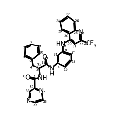 O=C(N[C@@H](Cc1ccccc1)C(=O)Nc1cccc(Nc2cc(C(F)(F)F)nc3ccccc23)c1)c1cnccn1